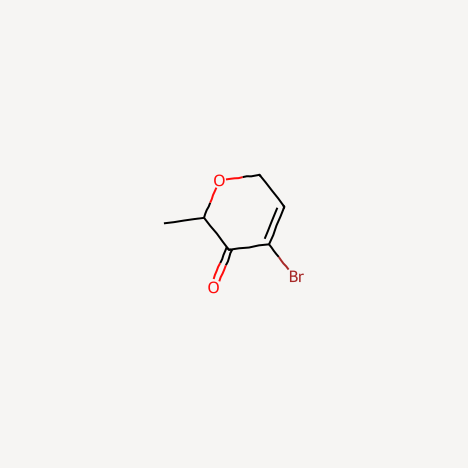 CC1OCC=C(Br)C1=O